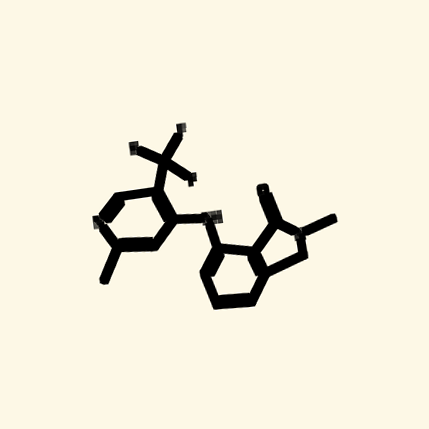 Cc1cc(Nc2cccc3c2C(=O)N(C)C3)c(C(F)(F)F)cn1